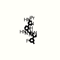 Cc1cc(F)cc(-c2ccnc3[nH]c(-c4n[nH]c5ccc(-c6cncc(NC(C)C)c6)nc45)nc23)c1